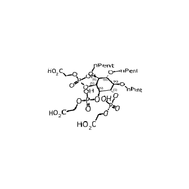 CCCCCO[C@@H]1[C@@H](OCCCCC)[C@H](OP(=O)(O)OCC(=O)O)[C@@H](OP(=O)(O)OCC(=O)O)[C@@H](OP(=O)(O)OCC(=O)O)[C@H]1OCCCCC